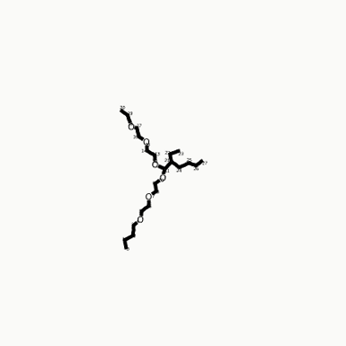 CCCCOCCOCCOC(OCCOCCOCC)C(CC)CCCC